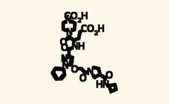 O=C(O)CCC(NC(=O)c1cc(OCC(=O)N2CCC(C(=O)NC3CCC3)C2)n(-c2ccccc2)n1)C(=O)N1CCN(C(=O)O)CC1